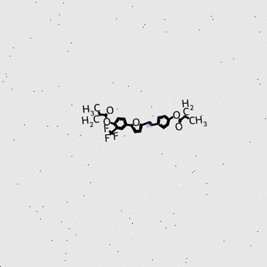 C=C(C)C(=O)Oc1ccc(/C=C/c2ccc(-c3ccc(OC(=O)C(=C)C)c(C(F)(F)F)c3)o2)cc1